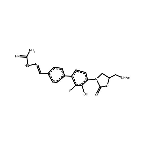 CC(=O)NCC1CN(c2ccc(-c3ccc(C=NNC(=N)N)cc3)c(F)c2O)C(=O)O1